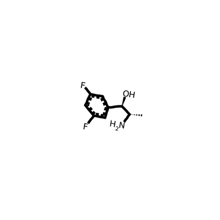 C[C@H](N)[C@H](O)c1cc(F)cc(F)c1